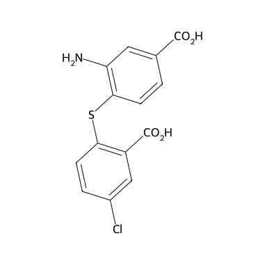 Nc1cc(C(=O)O)ccc1Sc1ccc(Cl)cc1C(=O)O